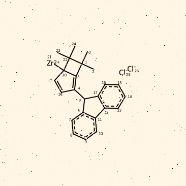 CC1(C)C2=C(C3c4ccccc4-c4ccccc43)C=C[C]2([Zr+2])C1(C)C.[Cl-].[Cl-]